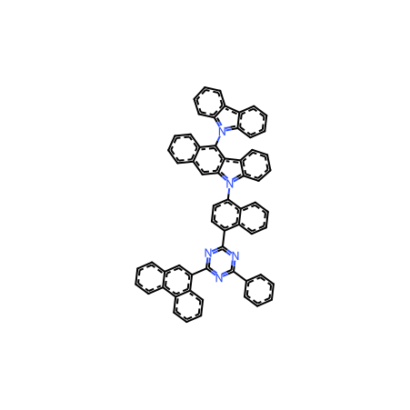 c1ccc(-c2nc(-c3ccc(-n4c5ccccc5c5c(-n6c7ccccc7c7ccccc76)c6ccccc6cc54)c4ccccc34)nc(-c3cc4ccccc4c4ccccc34)n2)cc1